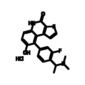 CC(c1ccc(-c2c(O)ccc3[nH]c(=O)c4sccc4c23)cc1F)N(C)C.Cl